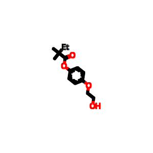 CCC(C)(C)C(=O)Oc1ccc(OCCO)cc1